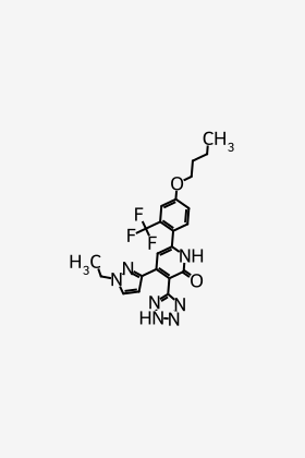 CCCCOc1ccc(-c2cc(-c3ccn(CC)n3)c(-c3nn[nH]n3)c(=O)[nH]2)c(C(F)(F)F)c1